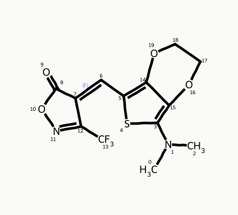 CN(C)c1sc(/C=C2/C(=O)ON=C2C(F)(F)F)c2c1OCCO2